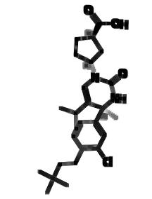 CC(C)C1=CN([C@@H]2CC[C@@H](C(=O)O)C2)C(=O)N[C@@]1(C)c1ccc(CCC(C)(C)C)c(Cl)c1